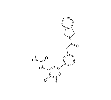 CNC(=O)Nc1cc(-c2cccc(CC(=O)N3Cc4ccccc4C3)c2)c[nH]c1=O